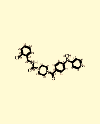 CN(c1ccncc1)c1ccc(C(=O)N2CCN(C(=O)NCc3ccccc3Cl)CC2)cc1